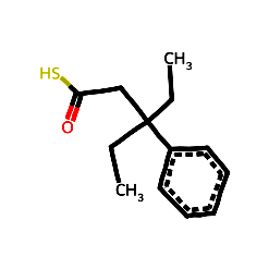 CCC(CC)(CC(=O)S)c1ccccc1